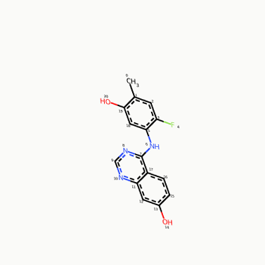 Cc1cc(F)c(Nc2ncnc3cc(O)ccc23)cc1O